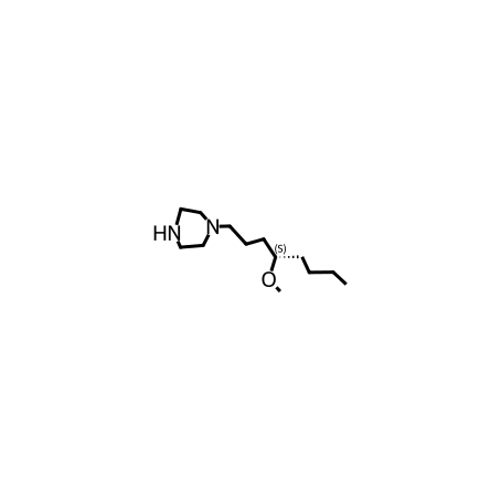 CCCC[C@@H](CCCN1CCNCC1)OC